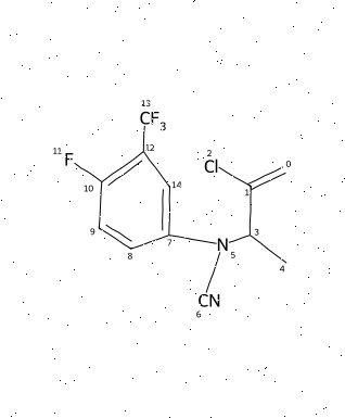 C=C(Cl)C(C)N(C#N)c1ccc(F)c(C(F)(F)F)c1